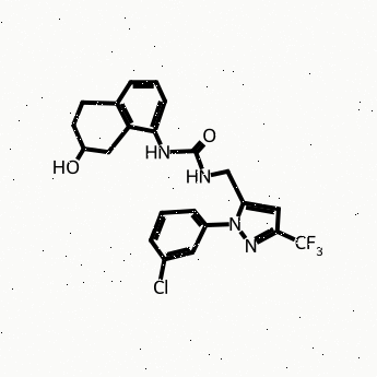 O=C(NCc1cc(C(F)(F)F)nn1-c1cccc(Cl)c1)Nc1cccc2c1CC(O)CC2